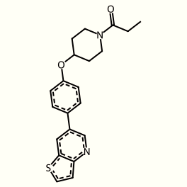 CCC(=O)N1CCC(Oc2ccc(-c3cnc4ccsc4c3)cc2)CC1